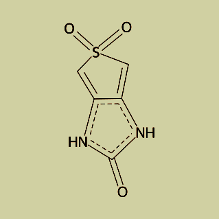 O=c1[nH]c2c([nH]1)=CS(=O)(=O)C=2